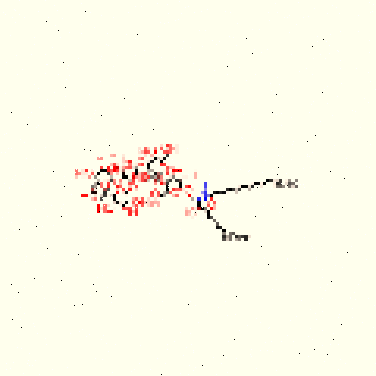 CCCCCCCCCCCCC/C=C/[C@@H](O)[C@H](CO[C@@H]1OC(CO)[C@@H](O[C@@H]2OC(CO)[C@H](O)[C@H](O[C@@H]3OC(CO)[C@@H](O[C@@H]4OC(CO)[C@H](O)[C@H](O)C4O)[C@H](O[C@H]4OC(C)[C@@H](O)C(O)[C@@H]4O)C3NC(C)=O)C2O)[C@H](O)C1O)NC(=O)CCCCCCCCCCCCCCCCCCC